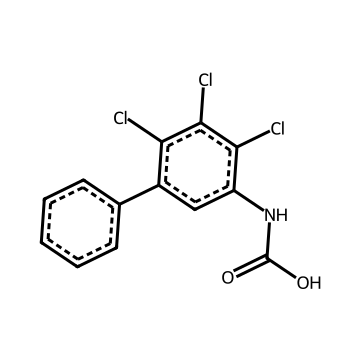 O=C(O)Nc1cc(-c2ccccc2)c(Cl)c(Cl)c1Cl